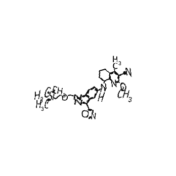 COc1nc2c(c(C)c1C#N)CCCC2Nc1ccc2c(c1)c(-c1cnco1)nn2COCC[Si](C)(C)C